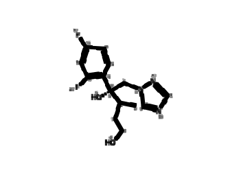 CC(CCO)[C@](O)(Cn1cncn1)c1ccc(F)cc1F